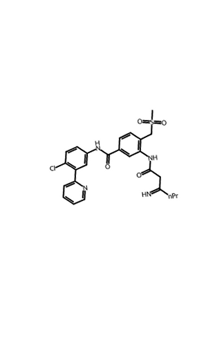 CCCC(=N)CC(=O)Nc1cc(C(=O)Nc2ccc(Cl)c(-c3ccccn3)c2)ccc1CS(C)(=O)=O